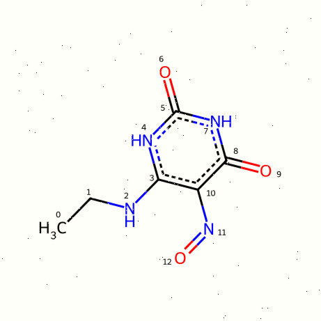 CCNc1[nH]c(=O)[nH]c(=O)c1N=O